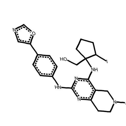 CC(=O)N1CCc2nc(Nc3ccc(-c4cnco4)cc3)nc(NC3(CO)CCCC3I)c2C1